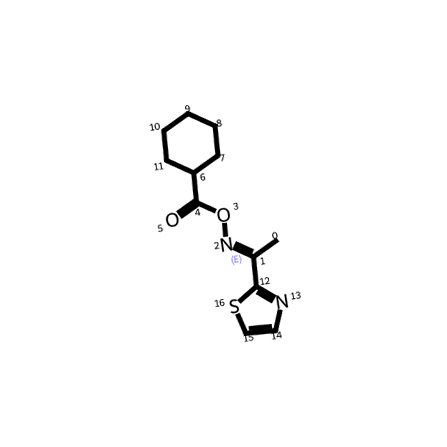 C/C(=N\OC(=O)C1CCCCC1)c1nccs1